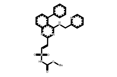 CC(C)(C)OC(=O)NS(=O)(=O)C=Cc1nc(NCc2ccccn2)c2c(-c3ccccc3)cccc2n1